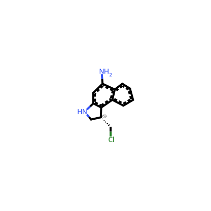 Nc1cc2c(c3ccccc13)[C@H](CCl)CN2